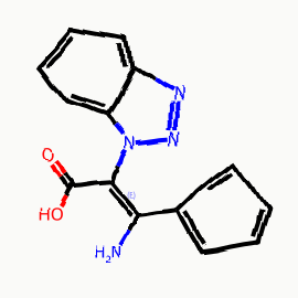 N/C(=C(\C(=O)O)n1nnc2ccccc21)c1ccccc1